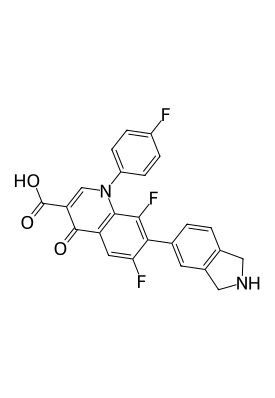 O=C(O)c1cn(-c2ccc(F)cc2)c2c(F)c(-c3ccc4c(c3)CNC4)c(F)cc2c1=O